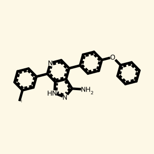 [CH]c1cccc(-c2ncc(-c3ccc(Oc4ccccc4)cc3)c3c(N)n[nH]c23)c1